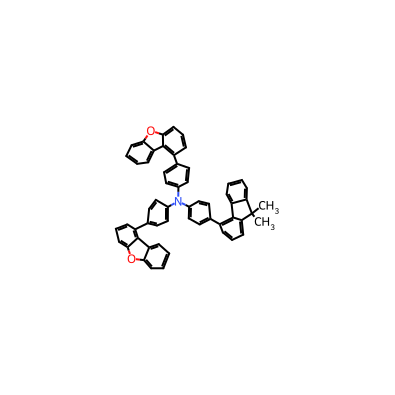 CC1(C)c2ccccc2-c2c(-c3ccc(N(c4ccc(-c5cccc6oc7ccccc7c56)cc4)c4ccc(-c5cccc6oc7ccccc7c56)cc4)cc3)cccc21